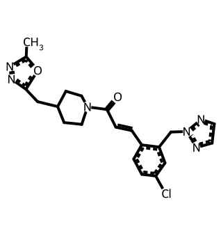 Cc1nnc(CC2CCN(C(=O)C=Cc3ccc(Cl)cc3Cn3nccn3)CC2)o1